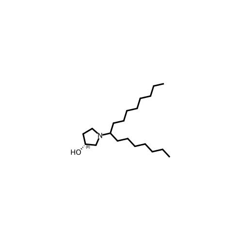 CCCCCCCCC(CCCCCCC)N1CC[C@@H](O)C1